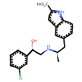 C[C@H](Cc1ccc2[nH]c(C(=O)O)cc2c1)NC[C@@H](O)c1cccc(Cl)c1